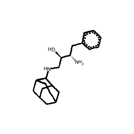 N[C@@H](Cc1ccccc1)[C@H](O)CNC1C2CC3CC(C2)CC1C3